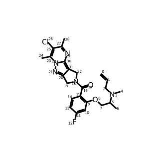 C=CCN(C)C(C)COc1cc(F)ccc1C(=O)N1Cc2nn3c(C)c(Cl)c(C)nc3c2C1